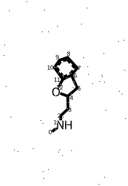 CNCCC1Cc2ccccc2O1